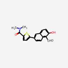 CN(C)C(=O)c1ccc(-c2ccc3c(C=O)c(O)ccc3c2)s1